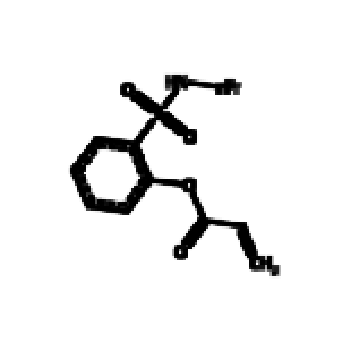 C=CC(=O)Oc1ccccc1S(=O)(=O)NCCC